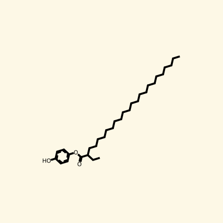 CCCCCCCCCCCCCCCCCCCCCCC(CC)C(=O)Oc1ccc(O)cc1